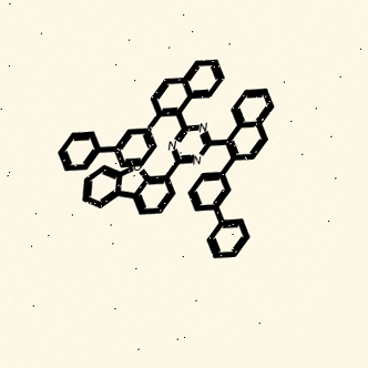 c1ccc(-c2cccc(-c3ccc4ccccc4c3-c3nc(-c4c(-c5cccc(-c6ccccc6)c5)ccc5ccccc45)nc(-c4cccc5c4oc4ccccc45)n3)c2)cc1